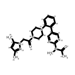 CC(=O)N(C)c1ncc(-c2ccccc2N2CCN(C(=O)Cn3nc(C)cc3C)CC2)cn1